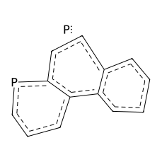 [P].c1ccc2c(c1)ccc1pcccc12